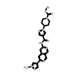 CC(C)OC(=O)N1CCC(n2cc(C(=O)Nc3cc4cc(-c5cnn(C)c5)ncc4cn3)cn2)CC1